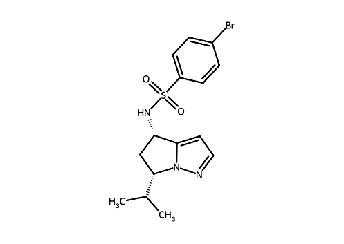 CC(C)[C@@H]1C[C@H](NS(=O)(=O)c2ccc(Br)cc2)c2ccnn21